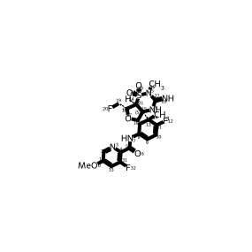 COc1cnc(C(=O)NC2=CC=C(F)C(C)([C@]34CO[C@H](CF)[C@H]3S(=O)(=O)N(C)C(=N)N4)C2)c(F)c1